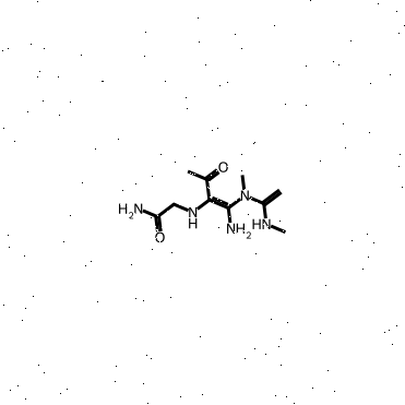 C=C(NC)N(C)/C(N)=C(/NCC(N)=O)C(C)=O